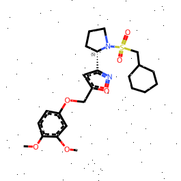 COc1ccc(OCc2cc([C@@H]3CCCN3S(=O)(=O)CC3CCCCC3)no2)cc1OC